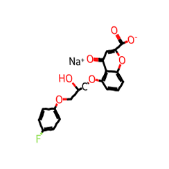 O=C([O-])c1cc(=O)c2c(OCC(O)COc3ccc(F)cc3)cccc2o1.[Na+]